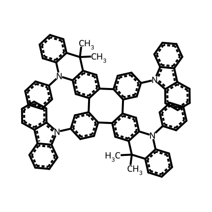 CC1(C)c2ccccc2N(c2ccccc2)c2cc3c(cc21)-c1ccc(-n2c4ccccc4c4ccccc42)cc1-c1cc2c(cc1-c1ccc(-n4c5ccccc5c5ccccc54)cc1-3)C(C)(C)c1ccccc1N2c1ccccc1